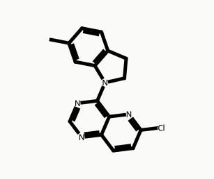 Cc1ccc2c(c1)N(c1ncnc3ccc(Cl)nc13)CC2